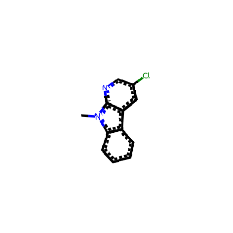 Cn1c2ccccc2c2cc(Cl)cnc21